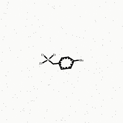 CC[N+](CC)(CC)Cc1ccc(C(C)(C)C)cc1